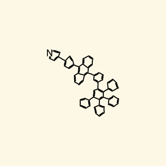 c1ccc(-c2cc(-c3cccc(-c4c5ccccc5c(-c5ccc(-c6ccncc6)cc5)c5ccccc45)c3)c(-c3ccccc3)c(-c3ccccc3)c2-c2ccccc2)cc1